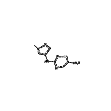 Cn1cc(Nc2ncc(C(=O)O)cn2)cn1